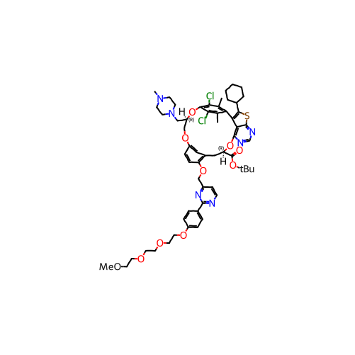 COCCOCCOCCOc1ccc(-c2nccc(COc3ccc4cc3C[C@H](C(=O)OC(C)(C)C)Oc3ncnc5sc(C6CCCCC6)c(c35)-c3c(C)c(Cl)c(c(Cl)c3C)O[C@H](CN3CCN(C)CC3)CO4)n2)cc1